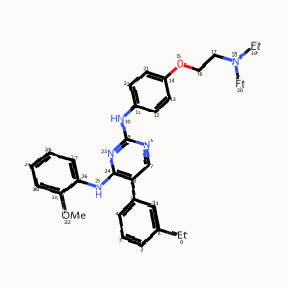 CCc1cccc(-c2cnc(Nc3ccc(OCCN(CC)CC)cc3)nc2Nc2ccccc2OC)c1